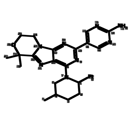 CCC1CCC(C)CN1c1nc(-c2cnc(N)nc2)nc2c1nc1n2CCOC1(C)C